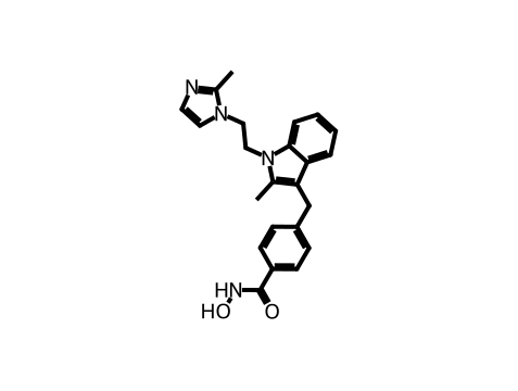 Cc1nccn1CCn1c(C)c(Cc2ccc(C(=O)NO)cc2)c2ccccc21